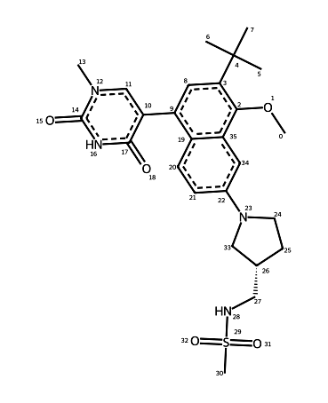 COc1c(C(C)(C)C)cc(-c2cn(C)c(=O)[nH]c2=O)c2ccc(N3CC[C@H](CNS(C)(=O)=O)C3)cc12